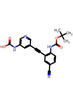 CC(C)(C)OC(=O)Nc1ccc(C#N)cc1C#Cc1cncc(NC(=O)O)c1